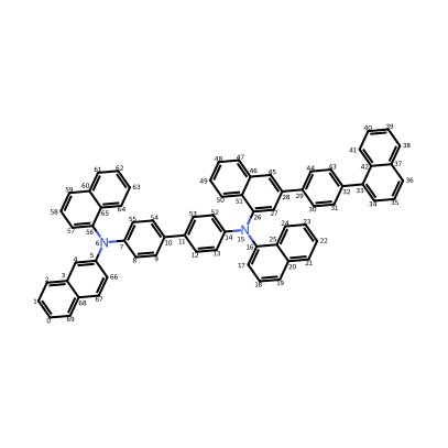 c1ccc2cc(N(c3ccc(-c4ccc(N(c5cccc6ccccc56)c5cc(-c6ccc(-c7cccc8ccccc78)cc6)cc6ccccc56)cc4)cc3)c3cccc4ccccc34)ccc2c1